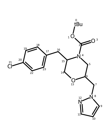 CC(C)(C)OC(=O)N1CC(Cn2cccn2)OCC1Cc1ccc(Cl)cc1